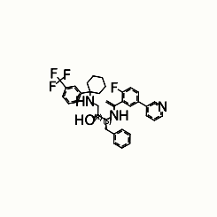 C=C(N[C@@H](Cc1ccccc1)[C@H](O)CNC1(c2cccc(C(F)(F)F)c2)CCCCC1)c1cc(-c2cccnc2)ccc1F